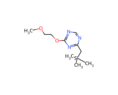 COCCOc1ncnc(C[Si](C)(C)C)n1